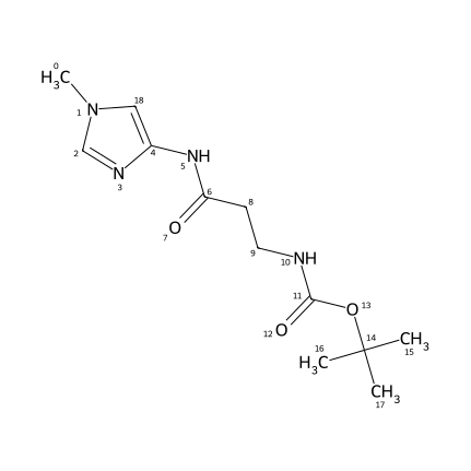 Cn1cnc(NC(=O)CCNC(=O)OC(C)(C)C)c1